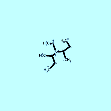 CCC(C)[SiH](NC)C(C)CC